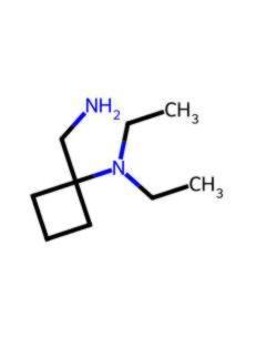 CCN(CC)C1(CN)CCC1